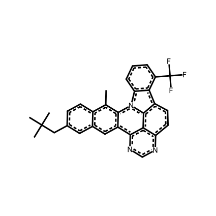 Cc1c2ccc(CC(C)(C)C)cc2cc2c3ncnc4ccc5c6c(C(F)(F)F)cccc6n(c12)c5c43